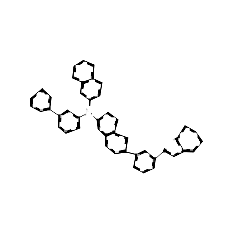 c1ccc(-c2cccc(N(c3ccc4ccccc4c3)c3ccc4cc(-c5cccc(-c6cc7ccccc7o6)c5)ccc4c3)c2)cc1